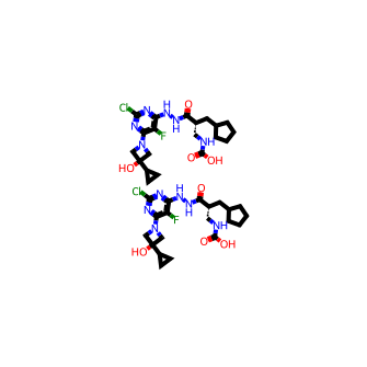 O=C(O)NC[C@@H](CC1CCCC1)C(=O)NNc1nc(Cl)nc(N2CC(O)(C3CC3)C2)c1F.O=C(O)NC[C@@H](CC1CCCC1)C(=O)NNc1nc(Cl)nc(N2CC(O)(C3CC3)C2)c1F